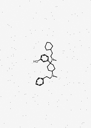 CN(CCc1ccccc1)C1CCC(c2cccc(O)c2)(N(C)CCC2CCCCC2)CC1